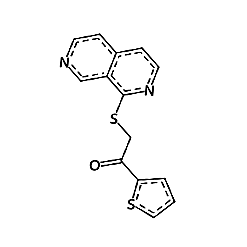 O=C(CSc1nccc2ccncc12)c1cccs1